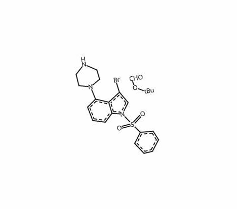 CC(C)(C)OC=O.O=S(=O)(c1ccccc1)n1cc(Br)c2c(N3CCNCC3)cccc21